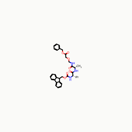 CC(C)[C@H](NC(=O)OCC1c2ccccc2-c2ccccc21)C(=O)N[C@@H](C)C(=O)NCOCC(=O)OCc1ccccc1